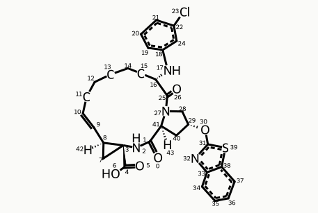 O=C1N[C@]2(C(=O)O)C[C@H]2/C=C\CCCCC[C@H](Nc2cccc(Cl)c2)C(=O)N2C[C@H](Oc3nc4ccccc4s3)C[C@@H]12